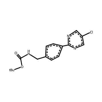 CC(C)(C)OC(=O)NCc1ccc(-c2ncc(Cl)cn2)cc1